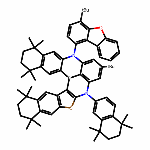 CC(C)(C)c1cc2c3c(c1)N(c1ccc(C(C)(C)C)c4oc5ccccc5c14)c1cc4c(cc1B3c1c(sc3cc5c(cc13)C(C)(C)CCC5(C)C)N2c1ccc2c(c1)C(C)(C)CCC2(C)C)C(C)(C)CCC4(C)C